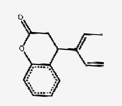 C=C/C(=C\C)[C@@H]1CC(=O)Oc2ccccc21